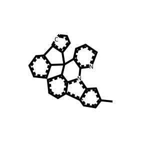 Cc1ccc2c3cccc4c3n(c2c1)-c1ncccc1C41c2ccccc2-c2ccccc21